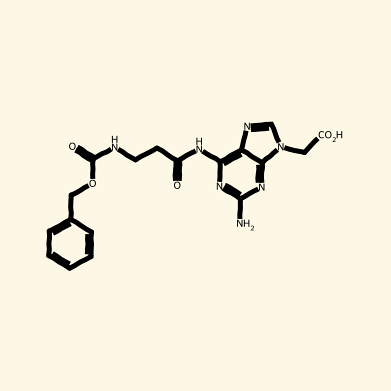 Nc1nc(NC(=O)CCNC(=O)OCc2ccccc2)c2ncn(CC(=O)O)c2n1